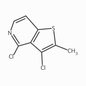 Cc1sc2ccnc(Cl)c2c1Cl